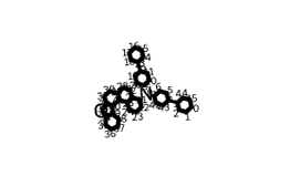 c1ccc(-c2ccc(N(c3ccc(-c4ccccc4)cc3)c3cccc4c3ccc3ccc5oc6ccccc6c5c34)cc2)cc1